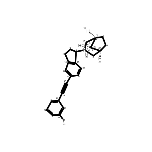 O=C(O)[C@H]1[C@@H]2CC[C@H]1CN(C1CCc3cc(C#Cc4cccc(F)c4)ccc31)C2